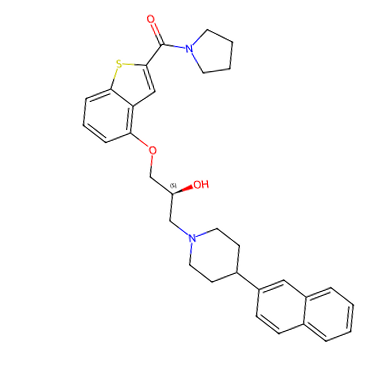 O=C(c1cc2c(OC[C@@H](O)CN3CCC(c4ccc5ccccc5c4)CC3)cccc2s1)N1CCCC1